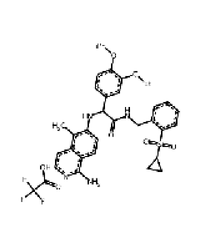 CCOc1cc(C(Nc2ccc3c(N)nccc3c2C)C(=O)NCc2ccccc2S(=O)(=O)C2CC2)ccc1OC(C)C.O=C(O)C(F)(F)F